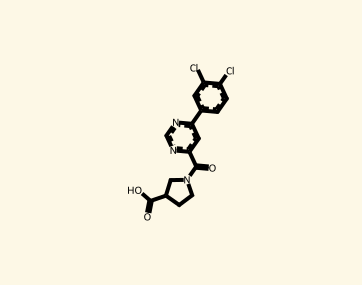 O=C(O)C1CCN(C(=O)c2cc(-c3ccc(Cl)c(Cl)c3)ncn2)C1